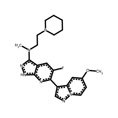 COc1ccn2ncc(-c3nc4[nH]nc(N(C)CCN5CCCCC5)c4cc3F)c2c1